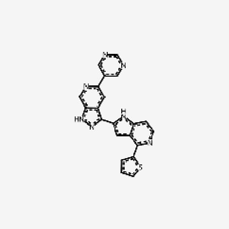 c1csc(-c2nccc3[nH]c(-c4n[nH]c5cnc(-c6cncnc6)cc45)cc23)c1